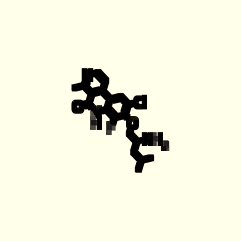 Cc1nccc2c1c(=O)[nH]c1c(F)c(OC[C@@H](N)CC(C)C)c(Cl)cc12